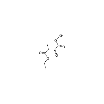 CCOC(=O)C(C)C(=O)C(=O)OS